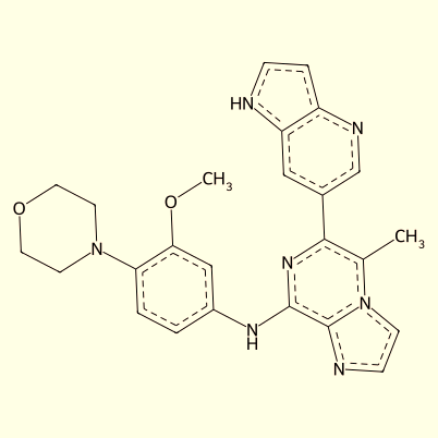 COc1cc(Nc2nc(-c3cnc4cc[nH]c4c3)c(C)n3ccnc23)ccc1N1CCOCC1